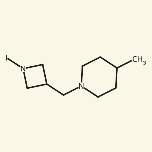 CC1CCN(CC2CN(I)C2)CC1